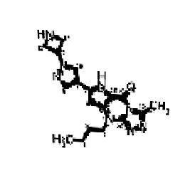 CCCCn1c2cc(-c3cnn(C4CNC4)c3)[nH]c2c(=O)n2c(C)nnc12